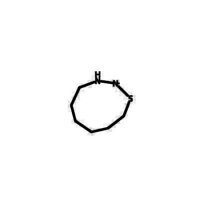 C1CCCS[N]NCC1